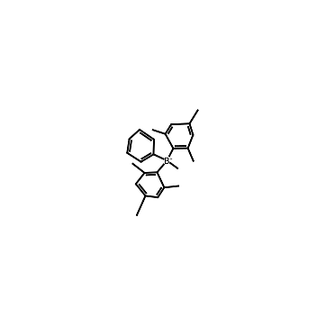 Cc1cc(C)c([B-](C)(c2ccccc2)c2c(C)cc(C)cc2C)c(C)c1